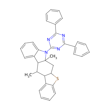 CC1C2c3ccccc3SC2CC2(C)C1c1ccccc1N2c1nc(-c2ccccc2)nc(-c2ccccc2)n1